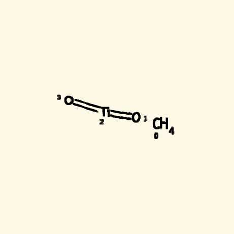 C.[O]=[Ti]=[O]